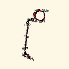 CO[C@H]1C[C@@H]2CC[C@@H](C)[C@@](O)(O2)C(=O)C(=O)N2CCCC[C@H]2C(=O)O[C@H]([C@H](C)C[C@@H]2CC[C@H](n3cc(-c4cccc(C(=O)NCCOCCOCCOCCC(=O)NCCOCCOCCOCCC(=O)NCCCCn5nc(-c6ccc7oc(N)nc7c6)c6c(N)ncnc65)c4)nn3)[C@H](OC)C2)CC(=O)[C@H](C)/C=C(\C)[C@@H](O)[C@@H](O)C(=O)[C@H](C)C[C@H](C)/C=C/C=C/C=C/1C